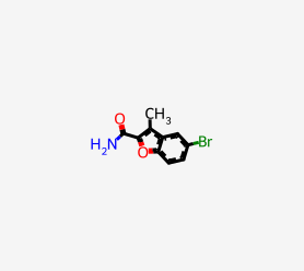 Cc1c(C(N)=O)oc2ccc(Br)cc12